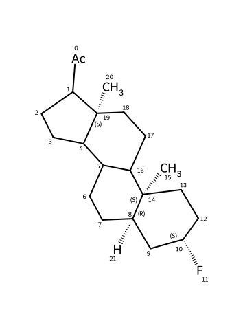 CC(=O)C1CCC2C3CC[C@@H]4C[C@@H](F)CC[C@]4(C)C3CC[C@]12C